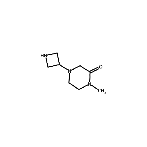 CN1CCN(C2CNC2)CC1=O